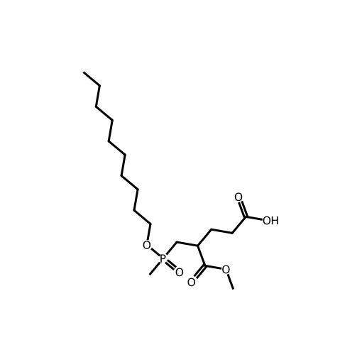 CCCCCCCCCCOP(C)(=O)CC(CCC(=O)O)C(=O)OC